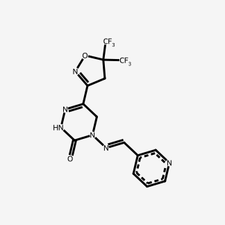 O=C1NN=C(C2=NOC(C(F)(F)F)(C(F)(F)F)C2)CN1N=Cc1cccnc1